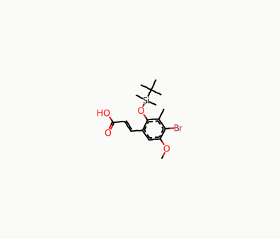 COc1cc(C=CC(=O)O)c(O[Si](C)(C)C(C)(C)C)c(C)c1Br